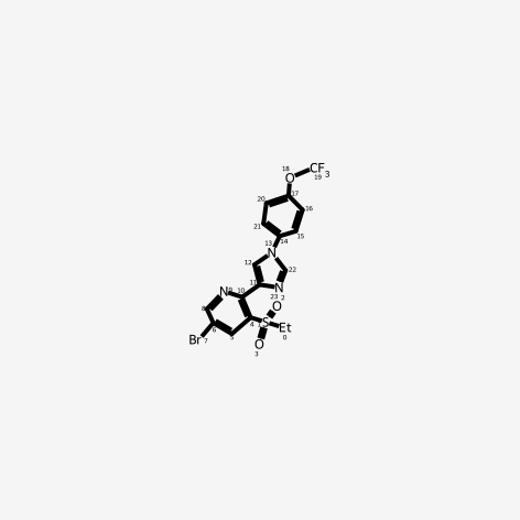 CCS(=O)(=O)c1cc(Br)cnc1-c1cn(-c2ccc(OC(F)(F)F)cc2)cn1